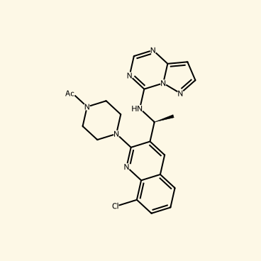 CC(=O)N1CCN(c2nc3c(Cl)cccc3cc2[C@H](C)Nc2ncnc3ccnn23)CC1